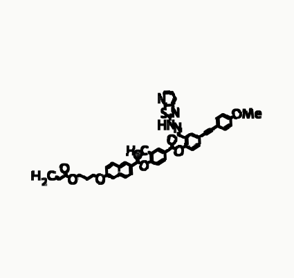 C=CC(=O)OCCCOc1ccc2cc(C(=O)Oc3ccc(C(=O)Oc4ccc(C#Cc5ccc(OC)cc5)cc4/C=N/Nc4nc5cccnc5s4)cc3C)ccc2c1